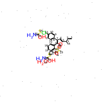 C.C=CC(C)c1cc(-c2ccc(Cl)cc2)c(-c2ccccc2S(C)(=O)=O)o1.NC(O)=S.NC(O)=S.O